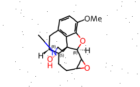 COc1ccc2c3c1O[C@H]1C4OC4CC[C@@]4(O)[C@@H](C2)N(C)CCC314